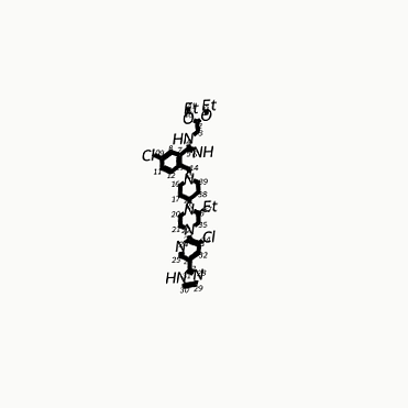 CCOC(CNC(=N)c1cc(Cl)ccc1CN1CCC(N2CCN(c3ncc(-c4ncc[nH]4)cc3Cl)C[C@@H]2CC)CC1)OCC